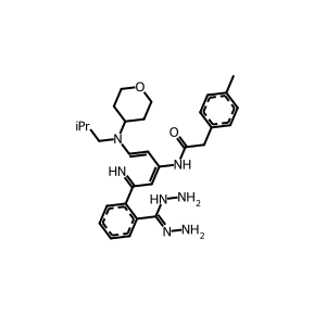 Cc1ccc(CC(=O)NC(/C=C/N(CC(C)C)C2CCOCC2)=C/C(=N)c2ccccc2/C(=N/N)NN)cc1